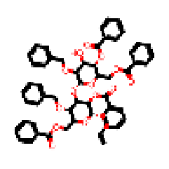 C=CCO[C@@H]1OC(COC(=O)c2ccccc2)[C@H](OCc2ccccc2)C(O[C@H]2OC(COC(=O)c3ccccc3)[C@H](OC(=O)c3ccccc3)C(O)C2OCc2ccccc2)C1OC(=O)c1ccccc1